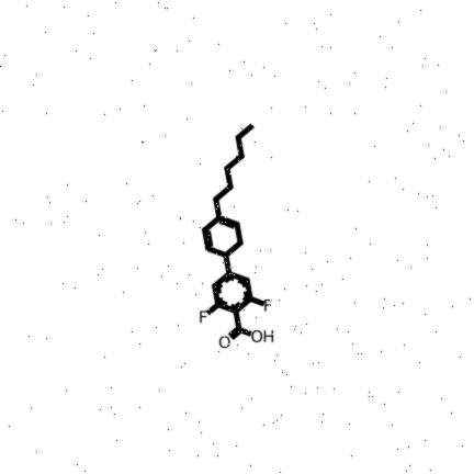 CCCCCCC1=CCC(c2cc(F)c(C(=O)O)c(F)c2)C=C1